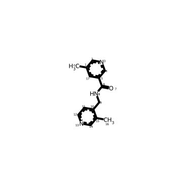 Cc1cncc(C(=O)NCc2ccncc2C)c1